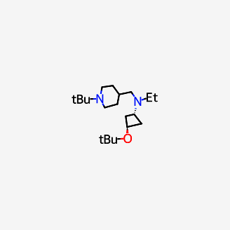 CCN(CC1CCN(C(C)(C)C)CC1)[C@H]1C[C@H](OC(C)(C)C)C1